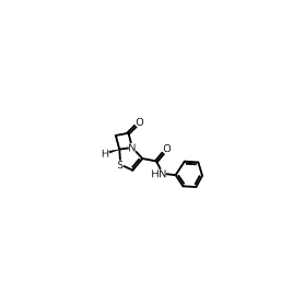 O=C(Nc1ccccc1)C1=CS[C@@H]2CC(=O)N12